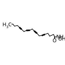 CCCCC#CCC#CCC#CCC#CCCCC(=O)NO